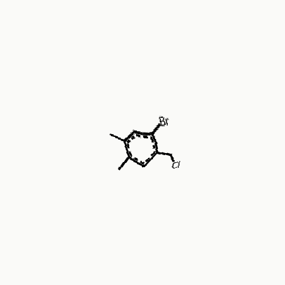 Cc1cc(Br)c(CCl)cc1C